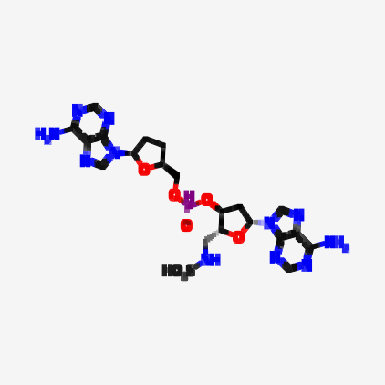 Nc1ncnc2c1ncn2[C@H]1CC[C@@H](CO[PH](=O)O[C@H]2C[C@H](n3cnc4c(N)ncnc43)O[C@@H]2CNS(=O)(=O)O)O1